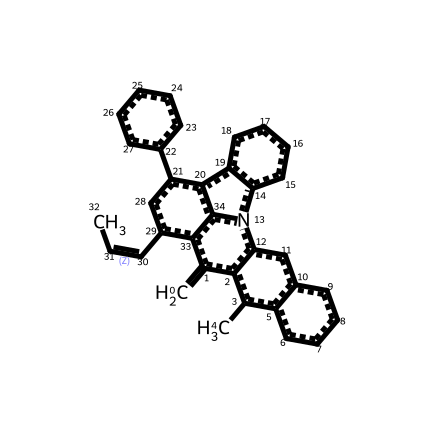 C=c1c2c(C)c3ccccc3cc2n2c3ccccc3c3c(-c4ccccc4)cc(/C=C\C)c1c32